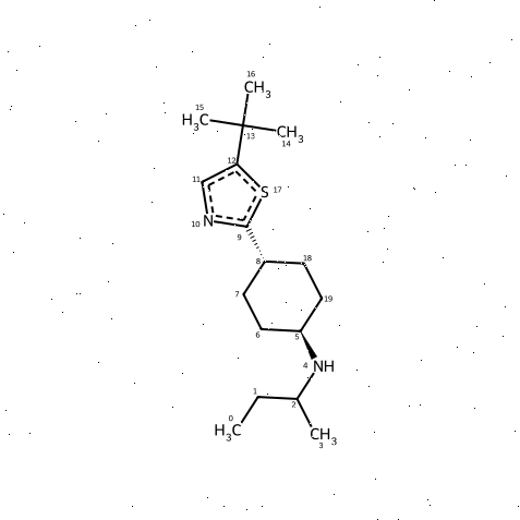 CCC(C)N[C@H]1CC[C@H](c2ncc(C(C)(C)C)s2)CC1